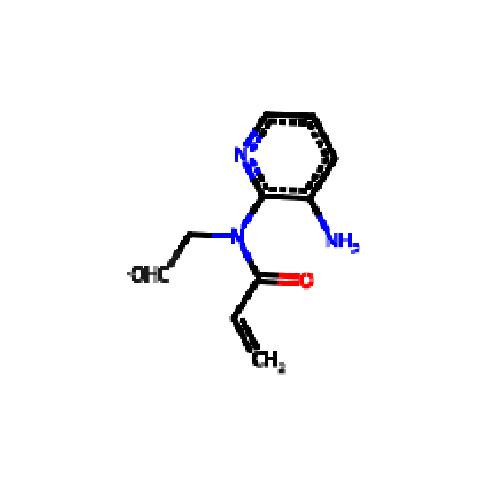 C=CC(=O)N(C[C]=O)c1ncccc1N